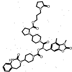 Cc1cc(C[C@@H](OC(=O)N2CCC(N3CCc4ccccc4NC3=O)CC2)C(=O)N2CCC(N3CCC[C@H]3C(=O)OCCCN3CCCC3=O)CC2)cc2oc(=O)n(C)c12